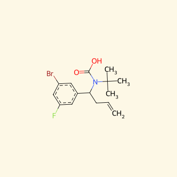 C=CCC(c1cc(F)cc(Br)c1)N(C(=O)O)C(C)(C)C